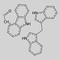 C[C]=O.c1ccc2c(Cc3c[nH]c4ccccc34)c[nH]c2c1.c1ccc2c(c1)[nH]c1ccccc12